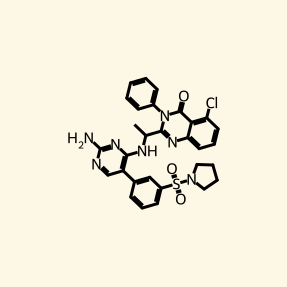 CC(Nc1nc(N)ncc1-c1cccc(S(=O)(=O)N2CCCC2)c1)c1nc2cccc(Cl)c2c(=O)n1-c1ccccc1